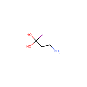 NCCC(O)(O)I